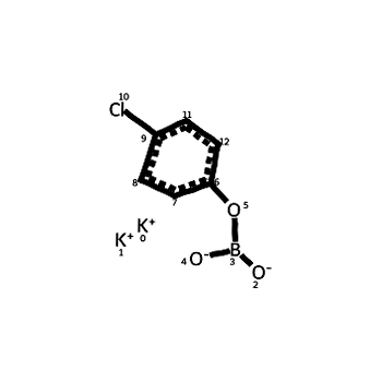 [K+].[K+].[O-]B([O-])Oc1ccc(Cl)cc1